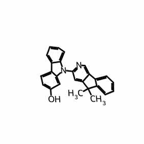 CC1(C)c2ccccc2-c2cnc(-n3c4ccccc4c4ccc(O)cc43)cc21